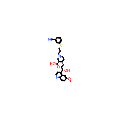 COc1ccc2nccc([C@@H](O)CC[C@@H]3CCN(CCCSc4cccc(C#N)c4)C[C@@H]3C(=O)O)c2c1